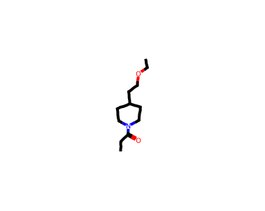 CCOCCC1CCN(C(=O)CC)CC1